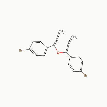 C=C=C(OC(=C=C)c1ccc(Br)cc1)c1ccc(Br)cc1